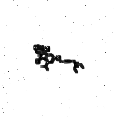 CCN(CC)CC#CCOc1cc(C(C)C)c2c(c1)S(=O)(=O)N(CCl)C2=O